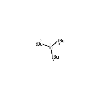 C[C](C)(C)[In]([C](C)(C)C)[C](C)(C)C